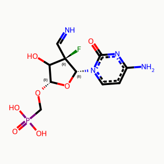 N=C[C@@]1(F)C(O)[C@@H](OCP(=O)(O)O)O[C@H]1n1ccc(N)nc1=O